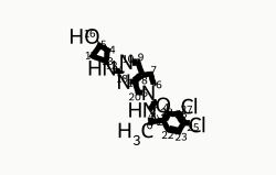 C[C@@H](NC(=O)N1CCc2cnc(N[C@H]3C[C@H](O)C3)nc2C1)c1ccc(Cl)c(Cl)c1